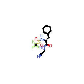 N#CCNC(=O)[C@H](CC1CCCCC1)NS(=O)(=O)C(F)(F)F